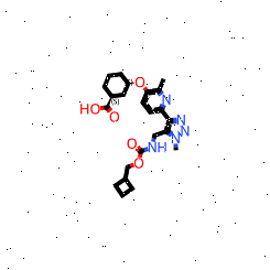 Cc1nc(-c2nnn(C)c2CNC(=O)OCC2CCC2)ccc1O[C@H]1CCC[C@H](C(=O)O)C1